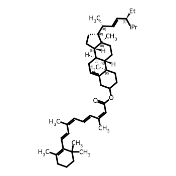 CC[C@H](C=C[C@@H](C)[C@H]1CC[C@H]2[C@@H]3CC=C4CC(OC(=O)C=C(C)C=CC=C(C)C=CC5=C(C)CCCC5(C)C)CC[C@]4(C)[C@H]3CC[C@]12C)C(C)C